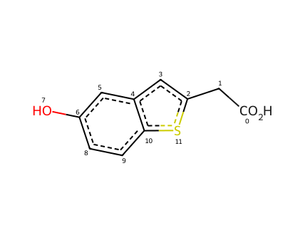 O=C(O)Cc1cc2cc(O)ccc2s1